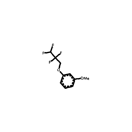 COc1cccc(OCC(F)(F)C(F)F)c1